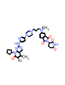 CC(=O)c1c(C)c2cnc(Nc3ccc(N4CCN(CCCN(C)c5ccc6c(c5)C(=O)N(C5CCC(=O)NC5=O)C6=O)CC4)cn3)nc2n(C2CCCC2)c1=O